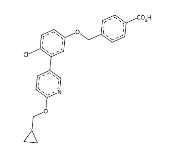 O=C(O)c1ccc(COc2ccc(Cl)c(-c3ccc(OCC4CC4)nc3)c2)cc1